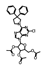 CC(=O)OCC1OC(n2cnc3c(N4CCC(c5ccccc5)(c5ccccc5)C4)nc(Cl)nc32)C(OC(C)=O)C1OC(C)=O